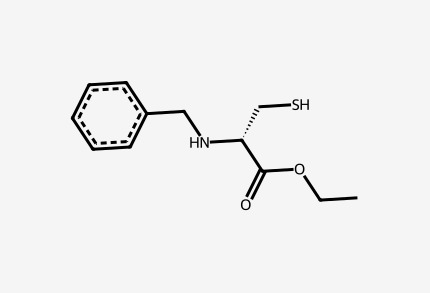 CCOC(=O)[C@@H](CS)NCc1ccccc1